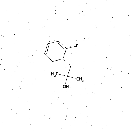 CC(C)(O)CC1CC=CC=C1F